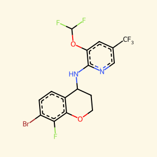 Fc1c(Br)ccc2c1OCCC2Nc1ncc(C(F)(F)F)cc1OC(F)F